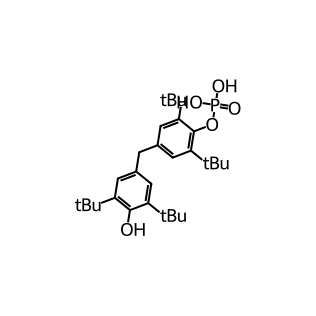 CC(C)(C)c1cc(Cc2cc(C(C)(C)C)c(OP(=O)(O)O)c(C(C)(C)C)c2)cc(C(C)(C)C)c1O